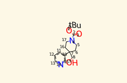 CC(C)(C)OC(=O)N1CCC(CO)(c2cccnc2)CC1